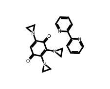 O=C1C=C(N2CC2)C(=O)C(N2CC2)=C1N1CC1.c1ccc(-c2ccccn2)nc1